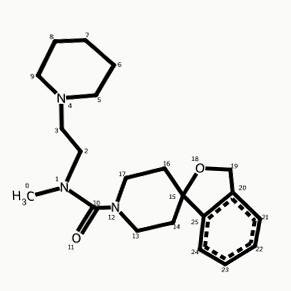 CN(CCN1CCCCC1)C(=O)N1CCC2(CC1)OCc1ccccc12